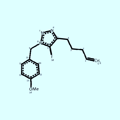 C=CCCCc1nnn(Cc2ccc(OC)cc2)c1I